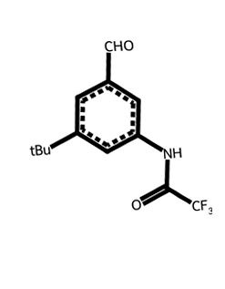 CC(C)(C)c1cc(C=O)cc(NC(=O)C(F)(F)F)c1